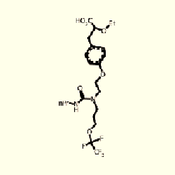 CCCNC(=O)N(CCCOC(F)(F)C(F)(F)F)CCOc1ccc(CC(OCC)C(=O)O)cc1